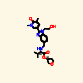 Cc1cc(-c2nc3cc(CN[C@H](C(=O)O[C@H]4CCOC4)C(C)C)ccc3n2CCO)cn(C)c1=O